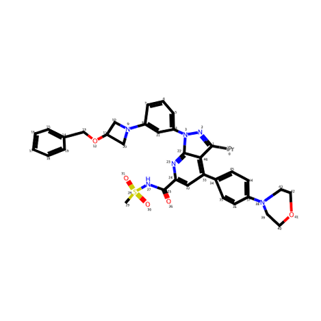 CC(C)c1nn(-c2cccc(N3CC(OCc4ccccc4)C3)c2)c2nc(C(=O)NS(C)(=O)=O)cc(-c3ccc(N4CCOCC4)cc3)c12